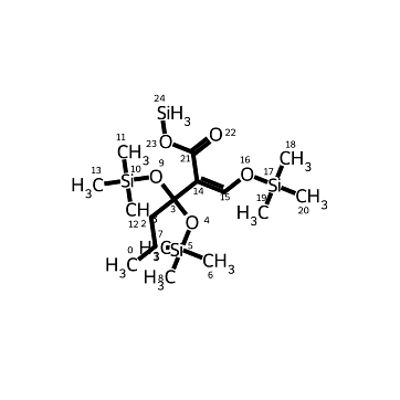 CCCC(O[Si](C)(C)C)(O[Si](C)(C)C)C(=CO[Si](C)(C)C)C(=O)O[SiH3]